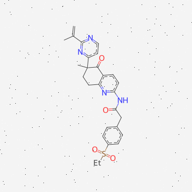 C=C(C)c1nccc(C2(C)CCc3nc(NC(=O)Cc4ccc(S(=O)(=O)CC)cc4)ccc3C2=O)n1